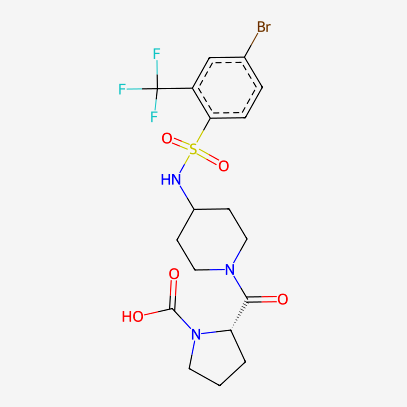 O=C([C@@H]1CCCN1C(=O)O)N1CCC(NS(=O)(=O)c2ccc(Br)cc2C(F)(F)F)CC1